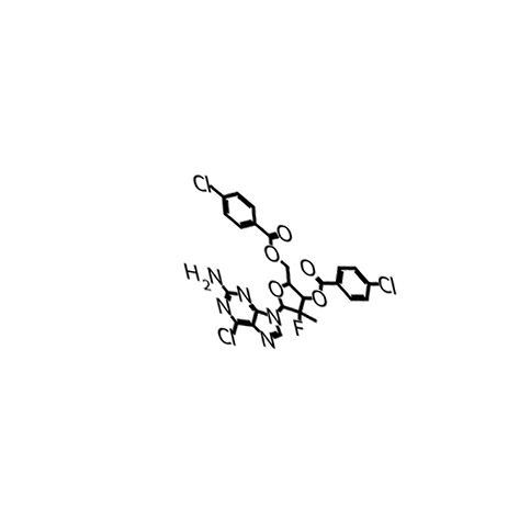 CC1(F)C(OC(=O)c2ccc(Cl)cc2)C(COC(=O)c2ccc(Cl)cc2)OC1n1cnc2c(Cl)nc(N)nc21